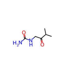 CC(C)C(=O)CNC(N)=O